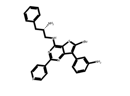 CC(C)(C)c1sc2c(NC[C@@H](N)Cc3ccccc3)nc(-c3ccncc3)nc2c1-c1cccc(N)c1